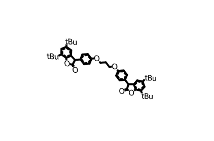 CC(C)(C)c1cc2c(c(C(C)(C)C)c1)OC(=O)C2c1ccc(OCCCOc2ccc(C3C(=O)Oc4c3cc(C(C)(C)C)cc4C(C)(C)C)cc2)cc1